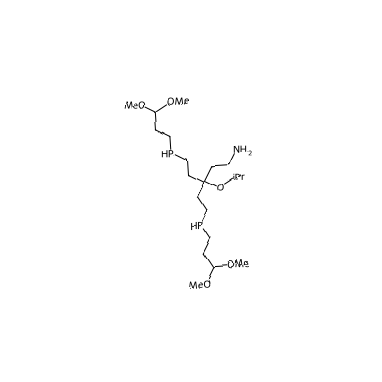 COC(CCPCCC(CCN)(CCPCCC(OC)OC)OC(C)C)OC